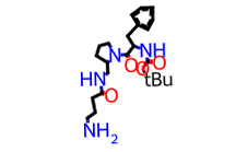 CC(C)(C)OC(=O)NC(Cc1ccccc1)C(=O)N1CCCC1CNC(=O)CCCN